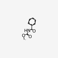 [CH2]OC(=O)NC(=O)c1ccccc1